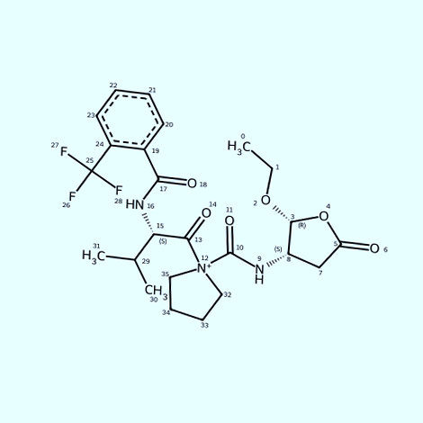 CCO[C@@H]1OC(=O)C[C@@H]1NC(=O)[N+]1(C(=O)[C@@H](NC(=O)c2ccccc2C(F)(F)F)C(C)C)CCCC1